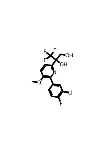 COc1ccc(C(O)(CO)C(F)(F)F)nc1-c1ccc(F)c(Cl)c1